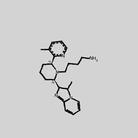 Cc1cccnc1[C@@H]1CCC[C@H](C2N=C3C=CC=CN3C2C)N1CCCCN